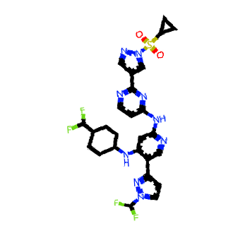 O=S(=O)(C1CC1)n1cc(-c2nccc(Nc3cc(NC4CCC(C(F)F)CC4)c(-c4ccn(C(F)F)n4)cn3)n2)cn1